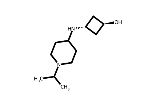 CC(C)N1CCC(N[C@H]2C[C@H](O)C2)CC1